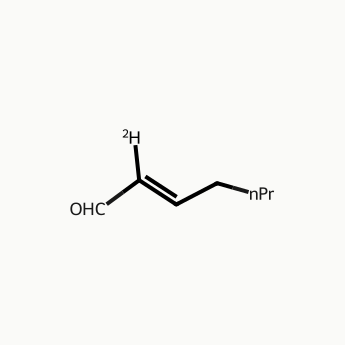 [2H]C(C=O)=CCCCC